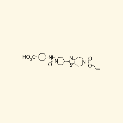 C=CCOC(=O)N1CCc2nc(C3CCN(C(=O)N[C@H]4CC[C@H](C(=O)O)CC4)CC3)sc2CC1